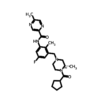 Cc1cnc(C(=O)Nc2cc(F)cc(CN3CCN(C(=O)C4CCCC4)[C@@H](C)C3)c2C)cn1